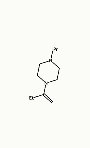 C=C(CC)N1CCN(C(C)C)CC1